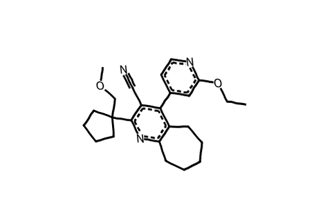 CCOc1cc(-c2c(C#N)c(C3(COC)CCCC3)nc3c2CCCCC3)ccn1